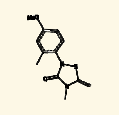 C=C1SN(c2ccc(OC)cc2C)C(=O)N1C